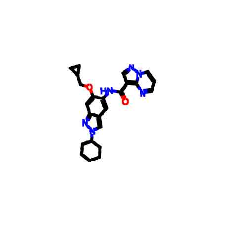 O=C(Nc1cc2cn(C3CCCCC3)nc2cc1OCC1CC1)c1cnn2cccnc12